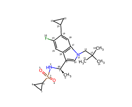 C[C@@H](NS(=O)(=O)C1CC1)c1cn(CC(C)(C)C)c2cc(C3CC3)c(F)cc12